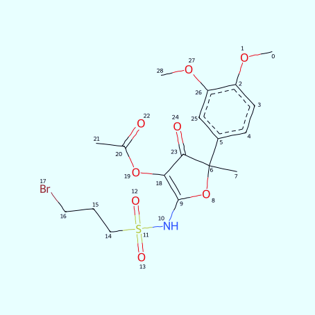 COc1ccc(C2(C)OC(NS(=O)(=O)CCCBr)=C(OC(C)=O)C2=O)cc1OC